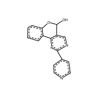 OC1Oc2ccccc2-c2nc(-c3ccncc3)ncc21